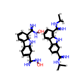 CC(C)NC(=N)c1ccc2c(c1)[nH]c1c(C(=N)NC(C)C)cccc12.N=C(NO)c1ccc2c(c1)[nH]c1c(C(=N)NO)cccc12